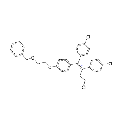 ClCC/C(=C(/c1ccc(Cl)cc1)c1ccc(OCCOCc2ccccc2)cc1)c1ccc(Cl)cc1